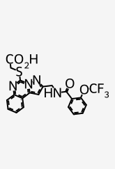 O=C(O)CSc1nc2ccccc2c2cc(CNC(=O)c3ccccc3OC(F)(F)F)nn12